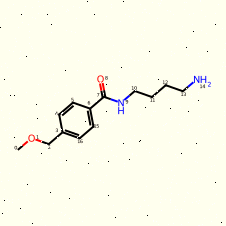 COCc1ccc(C(=O)NCCCCN)cc1